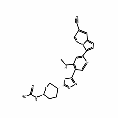 CNc1cc(-c2ccc3cc(C#N)cnn23)ncc1-c1nnc([C@H]2CC[C@H](NC(=O)O)CC2)s1